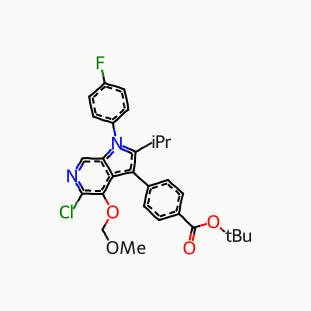 COCOc1c(Cl)ncc2c1c(-c1ccc(C(=O)OC(C)(C)C)cc1)c(C(C)C)n2-c1ccc(F)cc1